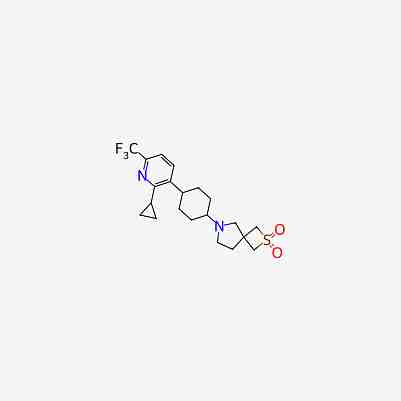 O=S1(=O)CC2(CCN(C3CCC(c4ccc(C(F)(F)F)nc4C4CC4)CC3)C2)C1